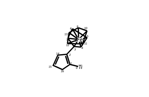 [Ti][C]1=C([C]23[CH]4[CH]5[CH]6[CH]2[Fe]56432789[CH]3[CH]2[CH]7[CH]8[CH]39)C=CC1